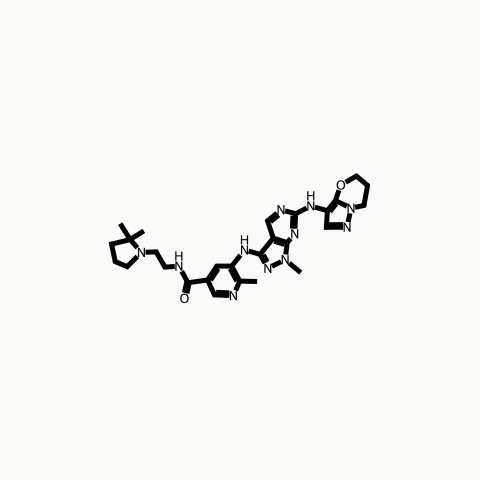 Cc1ncc(C(=O)NCCN2CCCC2(C)C)cc1Nc1nn(C)c2nc(Nc3cnn4c3OCCC4)ncc12